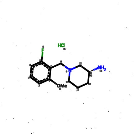 COc1cccc(F)c1CN1CCC[C@@H](N)C1.Cl